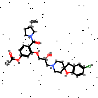 CO[C@H]1CCN(C(=O)c2ccc(OC(=O)C(F)(F)F)cc2OC[C@H](O)CN2CCC3(CC2)Cc2cc(Cl)ccc2O3)C1